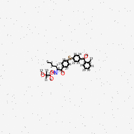 CCCC/C(=N\OC(=O)C(C)(C)OC)C(=O)c1ccc(Sc2ccc(C(=O)c3ccccc3C)cc2)cc1